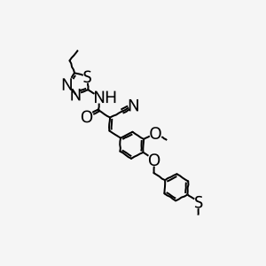 CCc1nnc(NC(=O)/C(C#N)=C/c2ccc(OCc3ccc(SC)cc3)c(OC)c2)s1